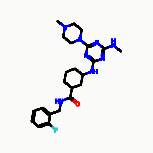 CNc1nc(NC2CCCC(C(=O)NCc3ccccc3F)C2)nc(N2CCN(C)CC2)n1